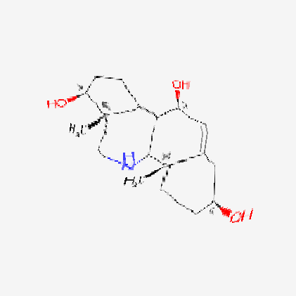 C[C@]12CC[C@H](O)CC1=C[C@H](O)C1C2NC[C@@]2(C)C1CC[C@@H]2O